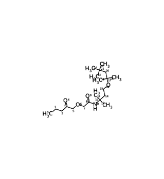 CCCC(=O)COCC(=O)NC(C)(C)CCOC(C)(C)CC(C)(C)C